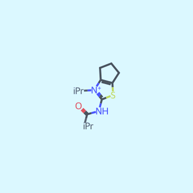 CC(C)C(=O)Nc1sc2c([n+]1C(C)C)CCC2